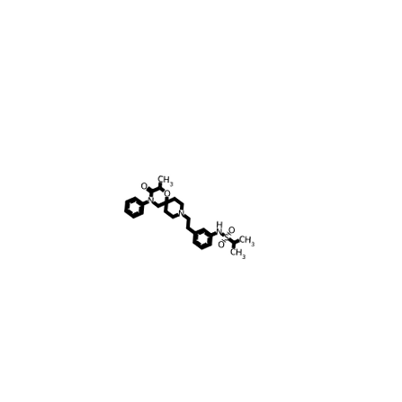 CC1OC2(CCN(CCc3cccc(NS(=O)(=O)C(C)C)c3)CC2)CN(c2ccccc2)C1=O